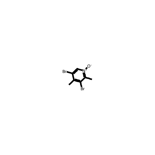 Cc1c(Br)c[n+]([O-])c(C)c1Br